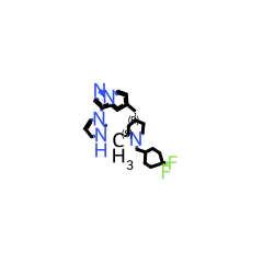 C[C@H]1C[C@H](Cc2ccn3ncc(N4C=CCNC4)c3c2)CCN1CC1CCC(F)(F)CC1